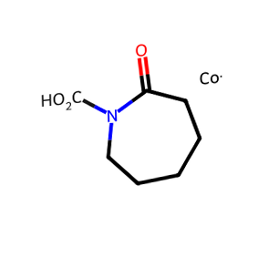 O=C(O)N1CCCCCC1=O.[Co]